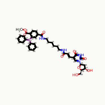 COC(=O)c1ccc(C(=O)NCCCCCCNC(=O)/C=C/c2cn([C@H]3C[C@@H](O)[C@@H](CO)O3)c(=O)[nH]c2=O)cc1P(c1ccccc1)c1ccccc1